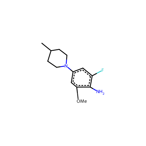 COc1cc(N2CCC(C)CC2)cc(F)c1N